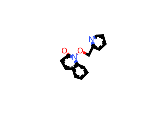 O=c1ccc2ccccc2n1OCc1ccccn1